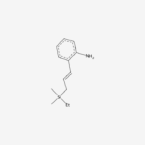 CC[Si](C)(C)CC=Cc1ccccc1N